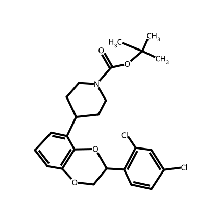 CC(C)(C)OC(=O)N1CCC(c2cccc3c2OC(c2ccc(Cl)cc2Cl)CO3)CC1